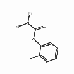 CCN(CC)C(=O)Oc1ccccc1C